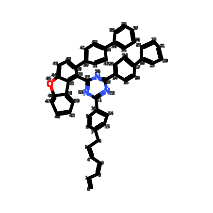 C=C/C=C\C=C/Cc1ccc(-c2nc(-c3ccc(-c4ccccc4)cc3)nc(-c3c(-c4ccc(-c5ccccc5)cc4)ccc4oc5ccccc5c34)n2)cc1